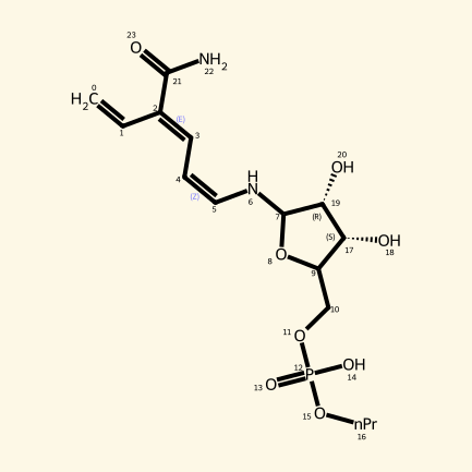 C=C/C(=C\C=C/NC1OC(COP(=O)(O)OCCC)[C@@H](O)[C@H]1O)C(N)=O